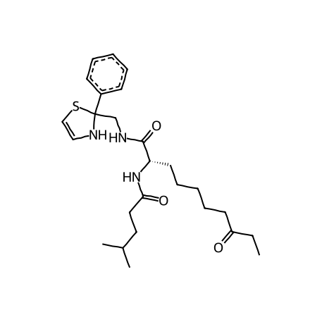 CCC(=O)CCCCC[C@H](NC(=O)CCC(C)C)C(=O)NCC1(c2ccccc2)NC=CS1